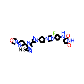 N#Cc1cnn2cc(-c3cnn([C@H]4CC[C@@H](N5CCN(c6ccc(NC7CCC(=O)NC7=O)cc6F)CC5)CC4)c3)nc(-c3ccc(N4CCOCC4)nc3)c12